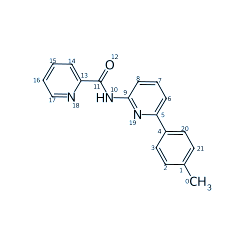 Cc1ccc(-c2cccc(NC(=O)c3ccccn3)n2)cc1